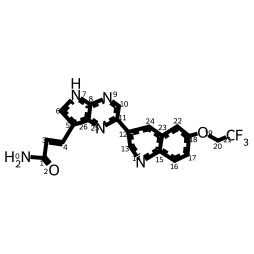 NC(=O)C=Cc1c[nH]c2ncc(-c3cnc4ccc(OCC(F)(F)F)cc4c3)nc12